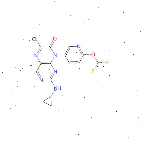 O=c1c(Cl)nc2cnc(NC3CC3)nc2n1-c1ccc(OC(F)F)nc1